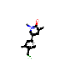 Cc1cc(-c2cc(C)c(=O)n(C)c2)ccc1CCl